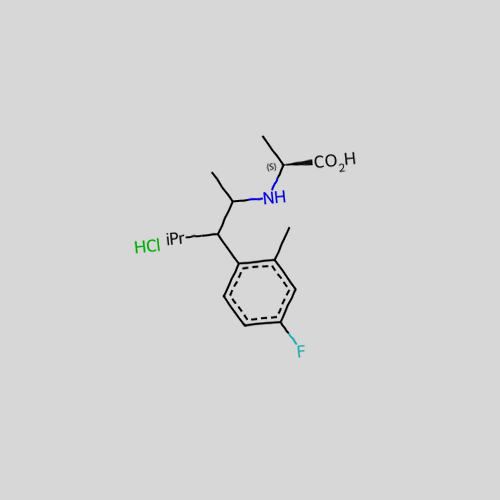 Cc1cc(F)ccc1C(C(C)C)C(C)N[C@@H](C)C(=O)O.Cl